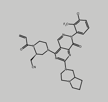 C=CC(=O)N1CCN(c2nc(N3CCN4CCCC4C3)nc3c(=O)n(-c4cccc(Cl)c4C(F)(F)F)ncc23)C[C@H]1CC#N